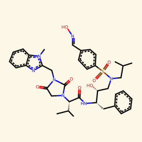 CC(C)CN(C[C@@H](O)[C@H](Cc1ccccc1)NC(=O)[C@H](C(C)C)N1CC(=O)N(Cc2nc3ccccc3n2C)C1=O)S(=O)(=O)c1ccc(/C=N/O)cc1